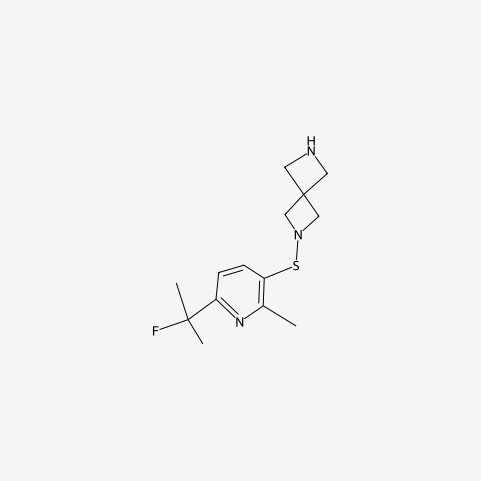 Cc1nc(C(C)(C)F)ccc1SN1CC2(CNC2)C1